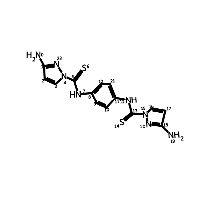 Nc1ccn(C(=S)Nc2ccc(NC(=S)n3ccc(N)n3)cc2)n1